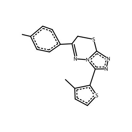 Cc1ccc(C2=Nn3c(nnc3-c3sccc3C)SC2)cc1